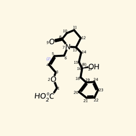 O=C(O)COC/C=C\CN1C(=O)CCCC1CC[C@@H](O)Cc1ccccc1